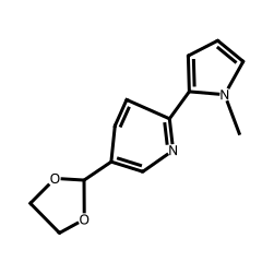 Cn1cccc1-c1ccc(C2OCCO2)cn1